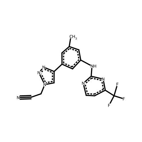 Cc1cc(Nc2nccc(C(F)(F)F)n2)cc(-c2cn(CC#N)nn2)c1